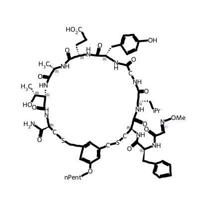 CCCCCOc1cc2cc(c1)CSC[C@H](NC(=O)[C@H](Cc1ccccc1)NC(=O)/C=N/OC)C(=O)N[C@@H](CC(C)C)C(=O)NCC(=O)N[C@@H](Cc1ccc(O)cc1)C(=O)N[C@@H](CCC(=O)O)C(=O)N[C@@H](C)C(=O)N[C@@H]([C@@H](C)O)C(=O)N[C@H](C(N)=O)CSC2